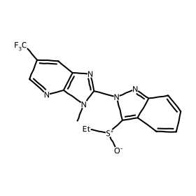 CC[S+]([O-])c1c2ccccc2nn1-c1nc2cc(C(F)(F)F)cnc2n1C